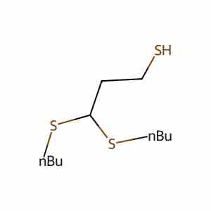 CCCCSC(CCS)SCCCC